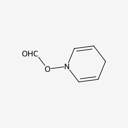 O=CON1C=CCC=C1